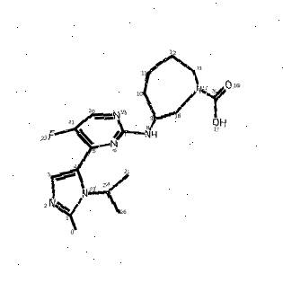 Cc1ncc(-c2nc(NC3CCCCN(C(=O)O)C3)ncc2F)n1C(C)C